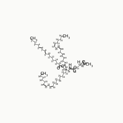 CCCCCC=CCC=CCCCCCCCC(=O)OCC(CCCCCCCC/C=C\C/C=C\CCCCC)(CCCCCCCC/C=C\C/C=C\CCCCC)CNC(=O)OCCCN(C)C